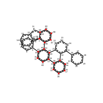 c1ccc(-c2ccccc2-c2ccc(-c3ccccc3)c(-c3nnnc(-c4ccccc4)c3-c3ccccc3-c3ccccc3)c2-c2cccc3sc4ccccc4c23)cc1